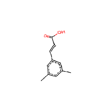 Cc1cc(C)cc(/C=C/C(=O)O)c1